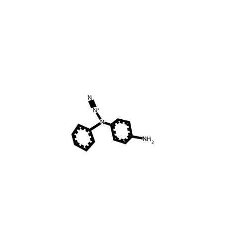 N#[N+]N(c1ccccc1)c1ccc(N)cc1